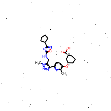 Cc1nc(-c2nnn(C)c2CNc2nc(C3CCCC3)no2)ccc1O[C@H]1CCC[C@H](C(=O)O)C1